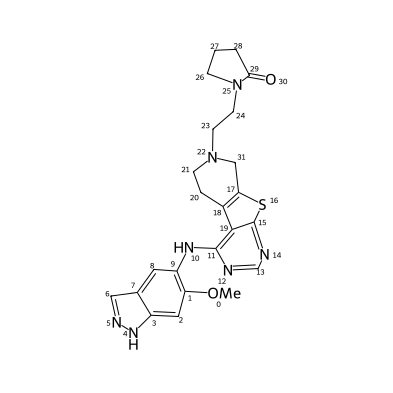 COc1cc2[nH]ncc2cc1Nc1ncnc2sc3c(c12)CCN(CCN1CCCC1=O)C3